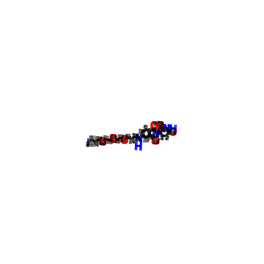 O=C1CCC(N2C(=O)c3ccc(NCCCOCCOCCOCCCI)cc3C2=O)C(=O)N1